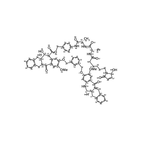 COc1cc2c(cc1OCc1cccc(COc3cc4c(cc3OC)C(=O)N3Cc5ccccc5C[C@H]3C(O)N4C(=O)OCc3ccc(NC(=O)[C@H](C)NC(=O)[C@@H](NC(=O)CCCCCN4C(=O)C=CC4O)C(C)C)cc3)n1)NC[C@@H]1Cc3ccccc3CN1C2=O